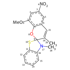 COc1cc([N+](=O)[O-])cc2c1OC1(Sc3ccccc3N1C)C(C)=C2